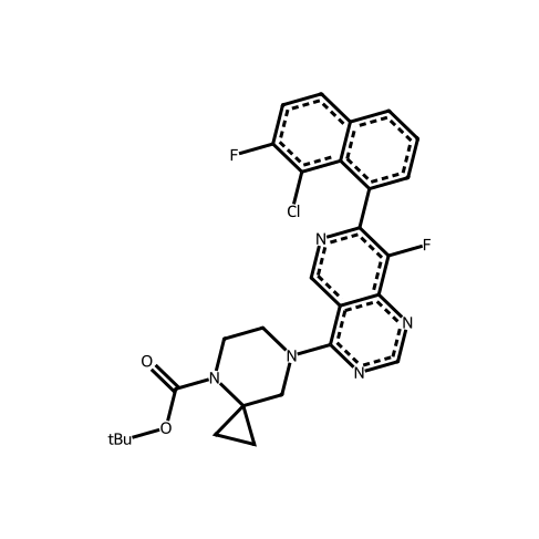 CC(C)(C)OC(=O)N1CCN(c2ncnc3c(F)c(-c4cccc5ccc(F)c(Cl)c45)ncc23)CC12CC2